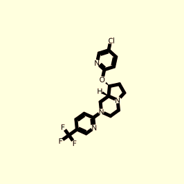 FC(F)(F)c1ccc(N2CCN3CC[C@@H](Oc4ccc(Cl)cn4)[C@H]3C2)nc1